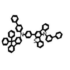 c1ccc(-c2ccc(N(c3ccc(-c4cc5c6ccccc6n(-c6cccc(-c7ccccc7)c6)c5c5c4sc4ccccc45)cc3)c3ccc4c(c3)C(c3ccccc3)(c3ccccc3)c3ccccc3-4)cc2)cc1